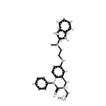 CN(CCOc1cccc(CN(CC(=O)O)C(=O)Oc2ccccc2)c1)c1nc2ccccc2s1